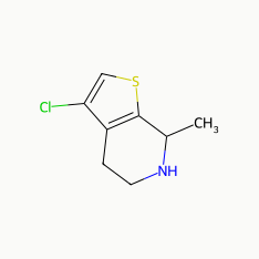 CC1NCCc2c(Cl)csc21